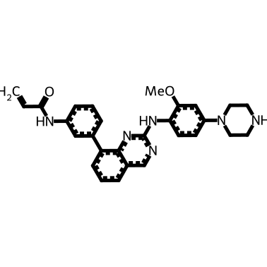 C=CC(=O)Nc1cccc(-c2cccc3cnc(Nc4ccc(N5CCNCC5)cc4OC)nc23)c1